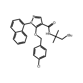 CC(C)(C)CC(C)(C)NC(=O)c1cnn(-c2cccc3ccccc23)c1OCc1ccc(Cl)cc1